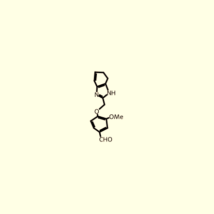 COc1cc(C=O)ccc1OCc1nc2c([nH]1)CCC=C2